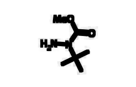 COC(=O)N(N)C(C)(C)C